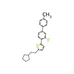 Cc1ccc(-c2ccc(-c3ccc(CCC4CCCC4)s3)c(F)c2)cc1